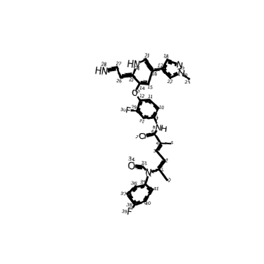 C/C(=C/C=C(\C)C(=O)Nc1ccc(OC2=CC(c3cnn(C)c3)=CN/C2=C\C=N)c(F)c1)N(C=O)c1ccc(F)cc1